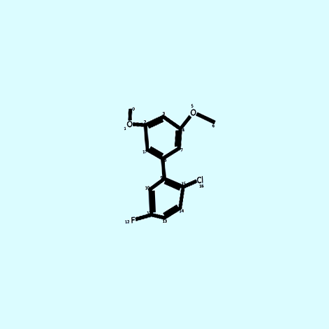 COc1cc(OC)cc(-c2cc(F)[c]cc2Cl)c1